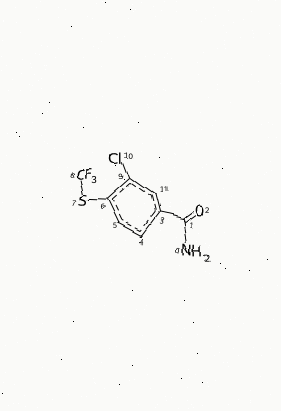 NC(=O)c1ccc(SC(F)(F)F)c(Cl)c1